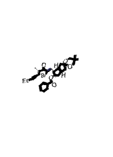 CCC#CC[C@H](C)C(=O)/C(Br)=C/[C@@H]1[C@H]2CC3(C[C@H]2C[C@H]1OC(=O)c1ccccc1)OCC(C)(C)CO3